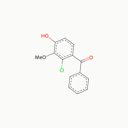 COc1c(O)ccc(C(=O)c2ccccc2)c1Cl